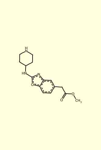 COC(=O)Cc1ccc2oc(NC3CCNCC3)nc2c1